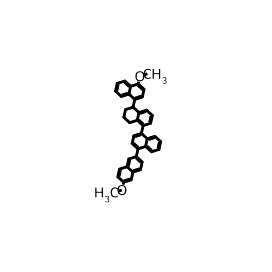 COc1ccc2cc(-c3ccc(-c4cccc5c4CCCC5c4ccc(OC)c5ccccc45)c4ccccc34)ccc2c1